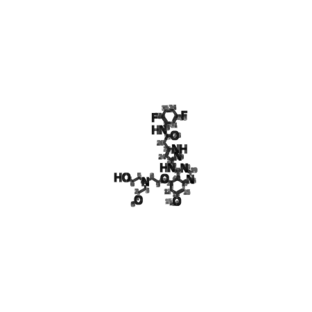 COCCN(CCO)CCOc1cc(OC)cc2ncnc(Nc3cc(CC(=O)Nc4cc(F)ccc4F)[nH]n3)c12